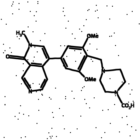 COc1cc(-c2cn(C)c(=O)c3cnccc23)cc(OC)c1CN1CCN(C(=O)O)CC1